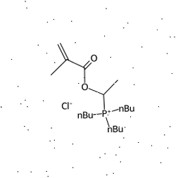 C=C(C)C(=O)OC(C)[P+](CCCC)(CCCC)CCCC.[Cl-]